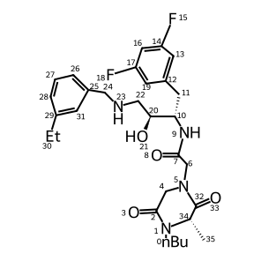 CCCCN1C(=O)CN(CC(=O)N[C@@H](Cc2cc(F)cc(F)c2)[C@@H](O)CNCc2cccc(CC)c2)C(=O)[C@@H]1C